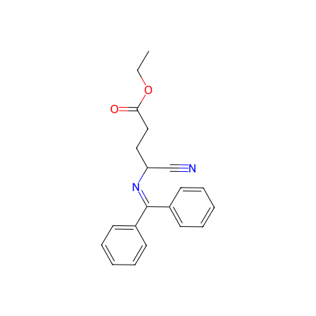 CCOC(=O)CCC(C#N)N=C(c1ccccc1)c1ccccc1